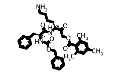 Cc1cc(C)c(C(=O)OCC(=O)[C@H](CCCCN)NC(=O)[C@H](Cc2ccccc2)NC(=O)OCc2ccccc2)c(C)c1